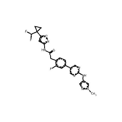 Cn1cc(Nc2ncc(-c3ccc(CC(=O)Nc4cc(C5(C(F)F)CC5)on4)c(F)c3)cn2)cn1